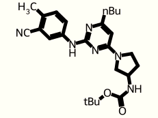 CCCCc1cc(N2CCC(NC(=O)OC(C)(C)C)C2)nc(Nc2ccc(C)c(C#N)c2)n1